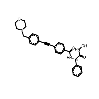 O=C(N[C@H](C(=O)NO)c1ccccc1)c1ccc(C#Cc2ccc(CN3CCOCC3)cc2)cc1